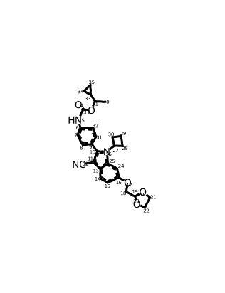 CC(OC(=O)Nc1ccc(-c2c(C#N)c3ccc(OCC4OCCO4)cc3n2C2CCC2)cc1)C1CC1